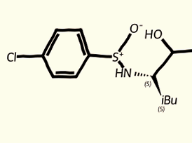 CC[C@H](C)[C@H](N[S+]([O-])c1ccc(Cl)cc1)C(C)O